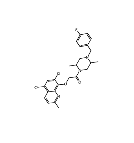 Cc1ccc2c(Cl)cc(Cl)c(OCC(=O)N3CC(C)N(Cc4ccc(F)cc4)CC3C)c2n1